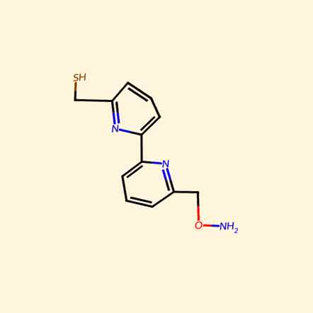 NOCc1cccc(-c2cccc(CS)n2)n1